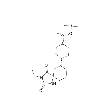 CCN1C(=O)NC2(CCCN(C3CCN(C(=O)OC(C)(C)C)CC3)C2)C1=O